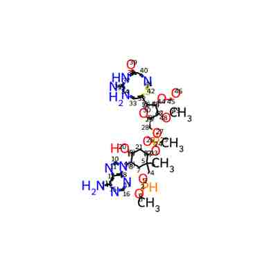 COPOCC1(C)C[C@@H](n2cnc3c(N)ncnc32)[C@H](O)C[C@@H]1OP(C)(=O)OC[C@H]1O[C@@H](c2cnc(N)[nH]c(=O)cns2)[C@H](OC=O)[C@@H]1OC